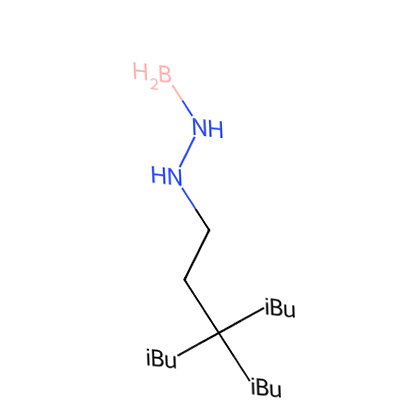 BNNCCC(C(C)CC)(C(C)CC)C(C)CC